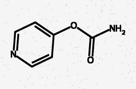 NC(=O)Oc1ccncc1